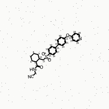 N#CCNC(=O)C1CCCCC1CS(=O)(=O)c1ccc(-c2ccc(Oc3ccncc3)cc2)cc1